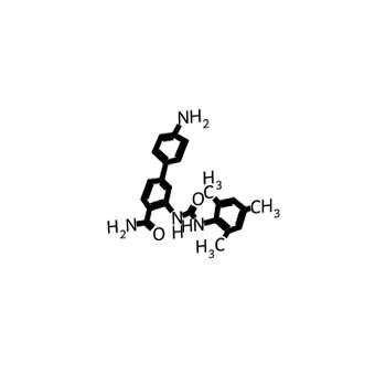 Cc1cc(C)c(NC(=O)Nc2cc(-c3ccc(N)cc3)ccc2C(N)=O)c(C)c1